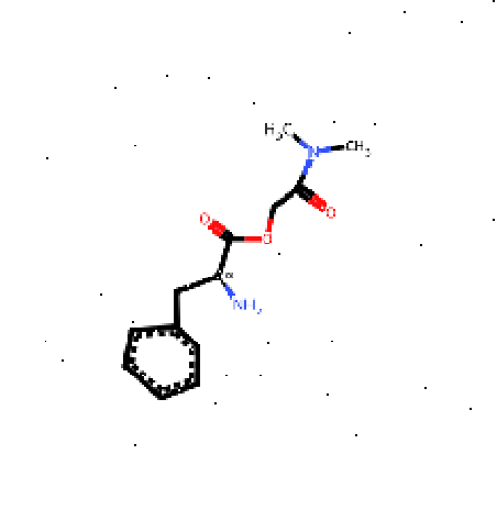 CN(C)C(=O)COC(=O)[C@@H](N)Cc1ccccc1